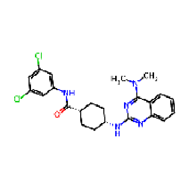 CN(C)c1nc(N[C@H]2CC[C@@H](C(=O)Nc3cc(Cl)cc(Cl)c3)CC2)nc2ccccc12